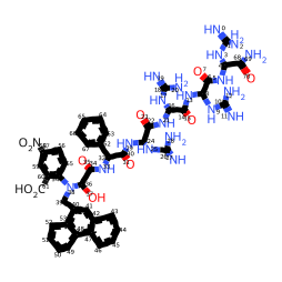 N=C(N)NC(NC(=O)C(NC(=N)N)NC(=O)C(NC(=N)N)NC(=O)C(NC(=N)N)NC(=O)C(NC(=O)C(O)N(Cc1cc2ccccc2c2ccccc12)c1ccc([N+](=O)[O-])cc1C(=O)O)c1ccccc1)C(N)=O